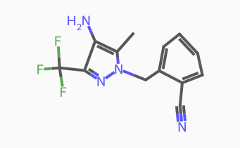 Cc1c(N)c(C(F)(F)F)nn1Cc1ccccc1C#N